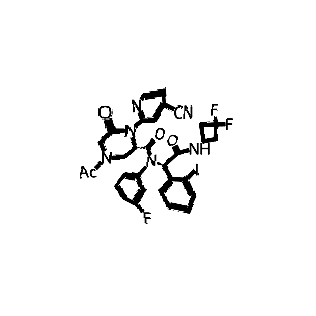 CC(=O)N1CC(=O)N(c2cc(C#N)ccn2)[C@H](C(=O)N(c2cccc(F)c2)[C@H](C(=O)NC2CC(F)(F)C2)c2ccccc2I)C1